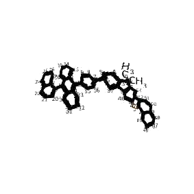 CC1(C)c2ccc(-c3ccc(-c4c5ccccc5c(-c5cccc6ccccc56)c5ccccc45)cc3)cc2-c2cc3sc4c5ccccc5ccc4c3cc21